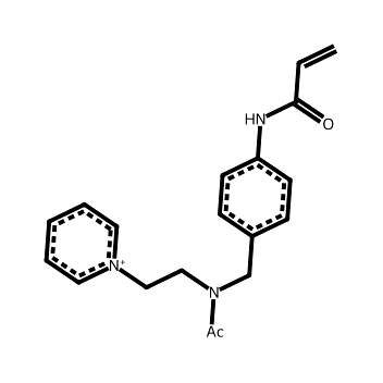 C=CC(=O)Nc1ccc(CN(CC[n+]2ccccc2)C(C)=O)cc1